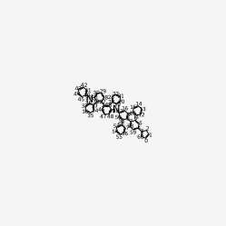 C1=CCC(c2ccc(-c3c(-c4ccccc4)cc(-n4c5ccccc5c5c(-c6cccc7c6c6ccccc6n7-c6ccccc6)cccc54)cc3-c3ccccc3)cc2)=C1